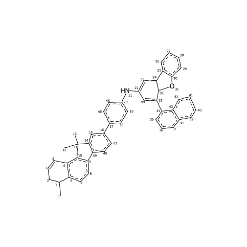 CC1CC=Cc2c1ccc1c2C(C)(C)c2cc(-c3ccc(NC4=CC5c6ccccc6OC5C(c5cccc6ccccc56)=C4)cc3)ccc2-1